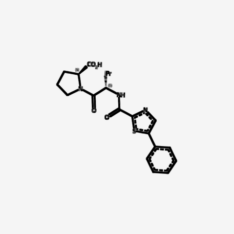 CC(C)[C@H](NC(=O)c1ncc(-c2ccccc2)s1)C(=O)N1CCC[C@H]1C(=O)O